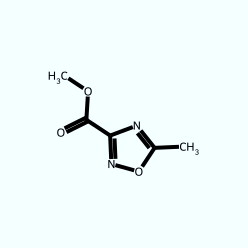 COC(=O)c1noc(C)n1